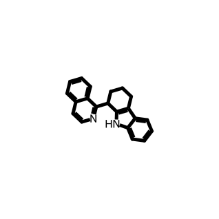 c1ccc2c(C3CCCc4c3[nH]c3ccccc43)nccc2c1